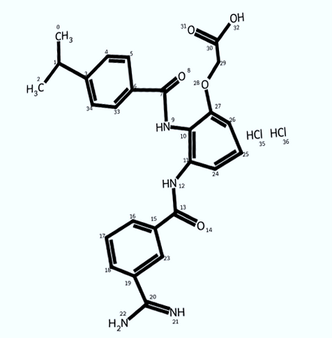 CC(C)c1ccc(C(=O)Nc2c(NC(=O)c3cccc(C(=N)N)c3)cccc2OCC(=O)O)cc1.Cl.Cl